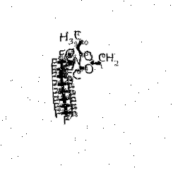 C=CC(=O)OC(C)N(CCCC)S(=O)(=O)C(F)(F)C(F)(F)C(F)(F)C(F)(F)C(F)(F)C(F)(F)C(F)(F)C(F)(F)F